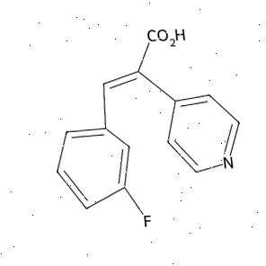 O=C(O)/C(=C/c1cccc(F)c1)c1ccncc1